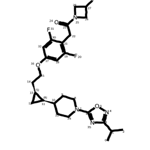 CC(C)c1noc(N2CCC([C@H]3C[C@H]3CCOc3cc(F)c(CC(=O)N4CC(F)C4)c(F)c3)CC2)n1